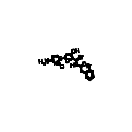 Nc1ccn([C@H]2CC(O)[C@@H](C(Br)NC(=O)Cc3ccccc3Br)O2)c(=O)n1